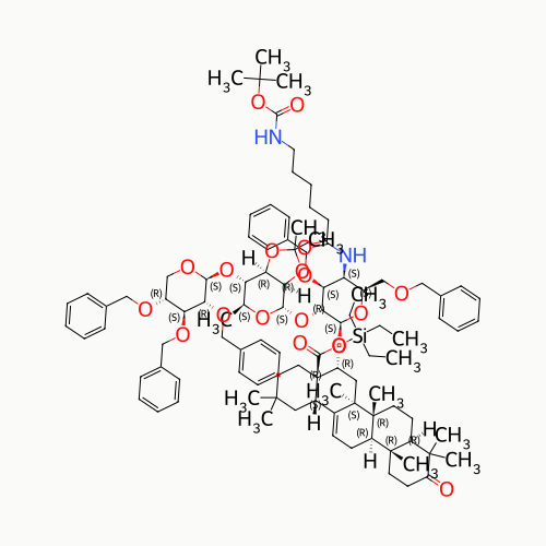 CC[Si](CC)(CC)O[C@@H]1C[C@]2(C)C(=CC[C@@H]3[C@@]4(C)CCC(=O)C(C)(C)[C@@H]4CC[C@]32C)[C@@H]2CC(C)(C)CC[C@]12C(=O)O[C@@H]1O[C@H](COCc2ccccc2)[C@H](NC(=O)CCCCCNC(=O)OC(C)(C)C)[C@H](OCc2ccccc2)[C@H]1O[C@@H]1O[C@@H](C)[C@H](O[C@@H]2OC[C@@H](OCc3ccccc3)[C@H](OCc3ccccc3)[C@H]2OCc2ccccc2)[C@H]2OC(C)(C)O[C@@H]12